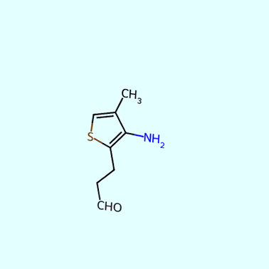 Cc1csc(CCC=O)c1N